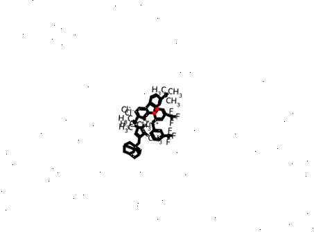 CC1=[C]([Zr+2](=[C](c2cccc(C(F)(F)F)c2)c2cccc(C(F)(F)F)c2)[c]2c(C(C)(C)C)ccc3c2Cc2cc(C(C)(C)C)ccc2-3)C(C)C=C1CC12CC3CC(CC(C3)C1)C2.[Cl-].[Cl-]